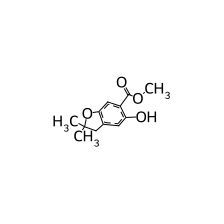 COC(=O)c1cc2c(cc1O)CC(C)(C)O2